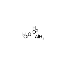 O.O.[AlH3].[Cr]